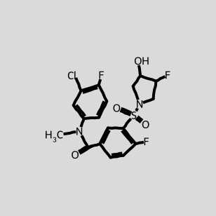 CN(C(=O)c1ccc(F)c(S(=O)(=O)N2CC(O)C(F)C2)c1)c1ccc(F)c(Cl)c1